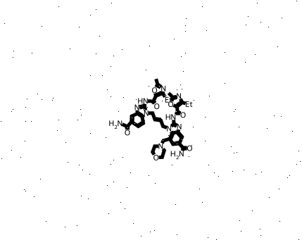 CCc1nc(C)oc1C(=O)Nc1nc2cc(C(N)=O)ccc2n1CC=CCn1c(NC(=O)c2oc(C)nc2CC)nc2cc(C(N)=O)cc(CN3CCOCC3)c21